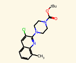 Cc1cccc2cc(Cl)c(N3CCN(C(=O)OC(C)(C)C)CC3)nc12